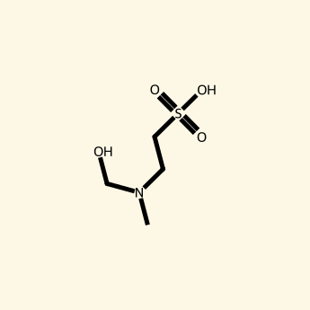 CN(CO)CCS(=O)(=O)O